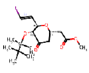 COC(=O)C[C@@H]1CC(=O)[C@H](O[Si](C)(C)C(C)(C)C)[C@@H](/C=C/I)O1